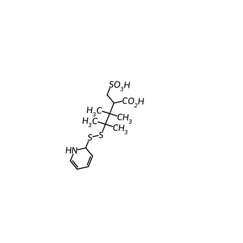 CC(C)(SSC1C=CC=CN1)C(C)(C)C(CS(=O)(=O)O)C(=O)O